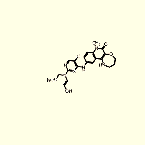 COCN(/C=C/O)c1ncc(Cl)c(Nc2ccc3c(c2)c2c(c(=O)n3C)OCCCN2)n1